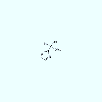 CCC(O)(OC)n1cc[c]n1